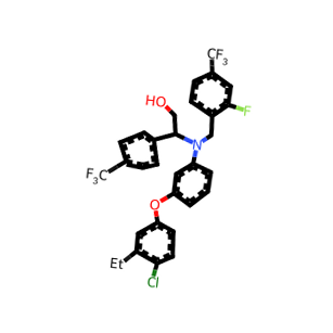 CCc1cc(Oc2cccc(N(Cc3ccc(C(F)(F)F)cc3F)C(CO)c3ccc(C(F)(F)F)cc3)c2)ccc1Cl